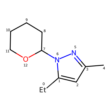 CCc1cc(C)nn1C1CCCCO1